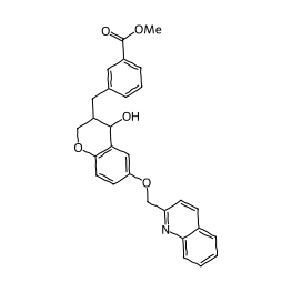 COC(=O)c1cccc(CC2COc3ccc(OCc4ccc5ccccc5n4)cc3C2O)c1